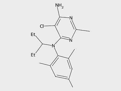 CCC(CC)N(c1nc(C)nc(N)c1Cl)c1c(C)cc(C)cc1C